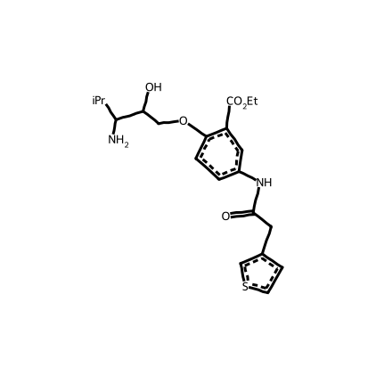 CCOC(=O)c1cc(NC(=O)Cc2ccsc2)ccc1OCC(O)C(N)C(C)C